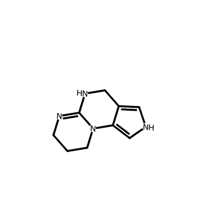 c1[nH]cc2c1CNC1=NCCCN12